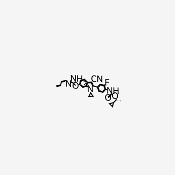 C=C/C=C\N=C(/N)Oc1ccc2c(C#N)c(-c3ccc(NC(=O)O[C@H](C)C4CC4)c(F)c3)n(C3CC3)c2c1